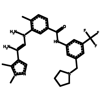 Cc1ccc(C(=O)Nc2cc(CN3CCCC3)cc(C(F)(F)F)c2)cc1N(N)/C=C(\N)c1cnn(C)c1C